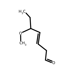 CCC(C=CCC=O)OC